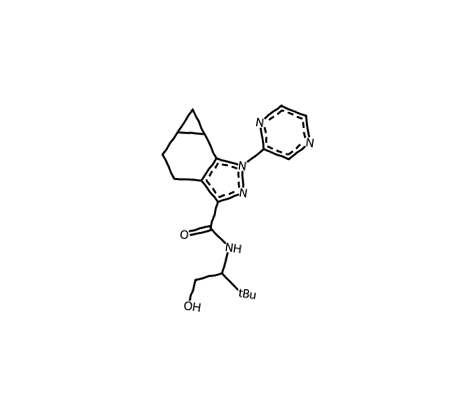 CC(C)(C)C(CO)NC(=O)c1nn(-c2cnccn2)c2c1CCC1CC21